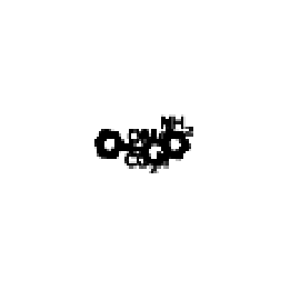 CO[C@](C(=O)O)(c1ccccc1)C1CCc2cccc(N)c2C1